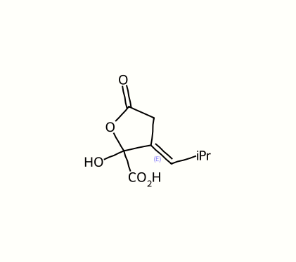 CC(C)/C=C1\CC(=O)OC1(O)C(=O)O